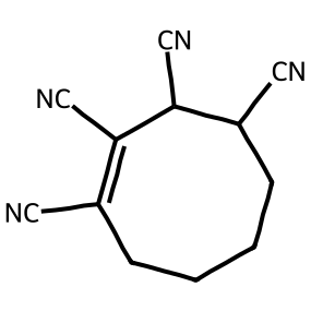 N#CC1=C(C#N)C(C#N)C(C#N)CCCC1